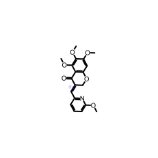 COc1cccc(/C=C2\COc3cc(OC)c(OC)c(OC)c3C2=O)n1